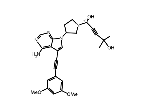 COc1cc(C#Cc2cn(C3CCN([C@@H](O)C#CC(C)(C)O)C3)c3ncnc(N)c23)cc(OC)c1